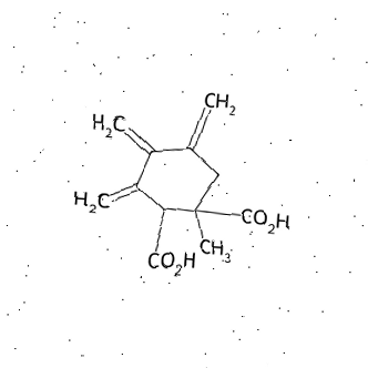 C=C1CC(C)(C(=O)O)C(C(=O)O)C(=C)C1=C